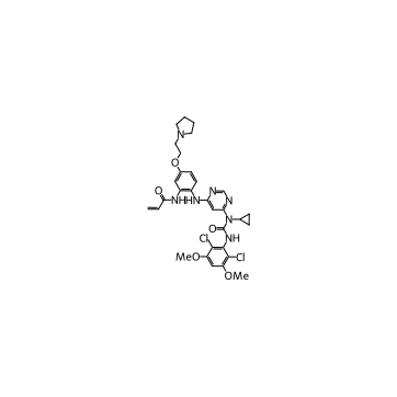 C=CC(=O)Nc1cc(OCCN2CCCC2)ccc1Nc1cc(N(C(=O)Nc2c(Cl)c(OC)cc(OC)c2Cl)C2CC2)ncn1